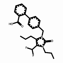 CCCc1c(C(F)F)n(CCC)c(=O)n1Cc1ccc(-c2ccccc2C(=O)O)cc1